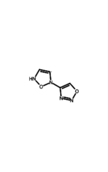 [C]1=CNON1c1conn1